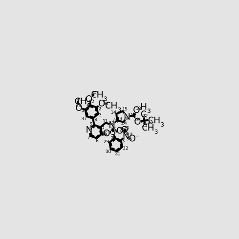 COc1cc(-c2ncccc2CN([C@H]2CCN(C(=O)OC(C)(C)C)C2)S(=O)(=O)c2ccccc2[N+](=O)[O-])cc(OC)c1OC